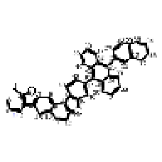 C/C=C\c1c(C)oc2cc3c(ccc4oc5cc(-c6c7ccccc7c(-c7ccc8c(c7)CCC=C8)c7ccccc67)ccc5c43)cc12